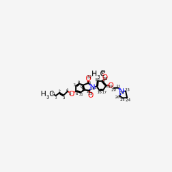 CC/C=C/COc1ccc2c(c1)C(=O)N(c1ccc(OCCN3CCCC3)c(OC)c1)C2=O